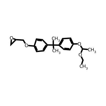 CCOC(C)Oc1ccc(C(C)(C)c2ccc(OCC3CO3)cc2)cc1